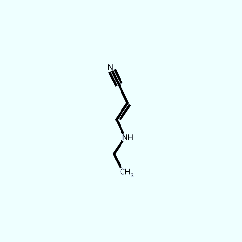 CCNC=CC#N